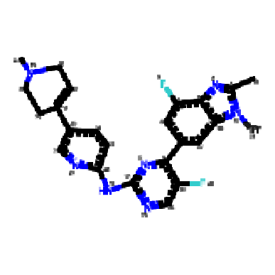 Cc1nc2c(F)cc(-c3nc(Nc4ccc(C5=CCN(C)CC5)cn4)ncc3F)cc2n1C(C)C